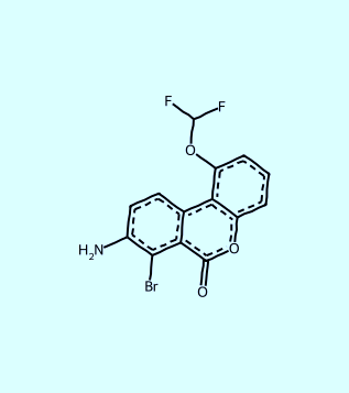 Nc1ccc2c(c1Br)c(=O)oc1cccc(OC(F)F)c12